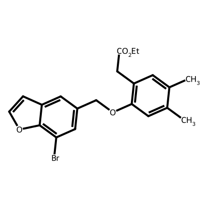 CCOC(=O)Cc1cc(C)c(C)cc1OCc1cc(Br)c2occc2c1